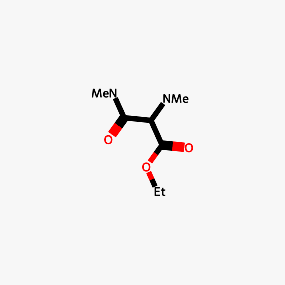 CCOC(=O)C(NC)C(=O)NC